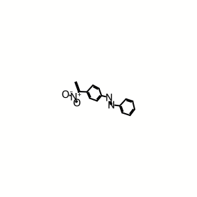 C=C(c1ccc(/N=N/c2ccccc2)cc1)[N+](=O)[O-]